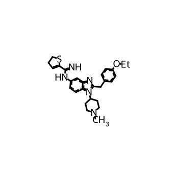 CCOc1ccc(Cc2nc3cc(NC(=N)C4=CCCS4)ccc3n2C2CCN(C)CC2)cc1